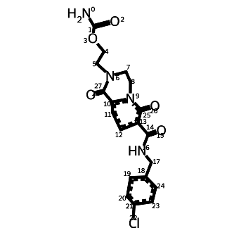 NC(=O)OCCN1CCn2c(ccc(C(=O)NCc3ccc(Cl)cc3)c2=O)C1=O